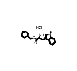 Cl.Cn1cc(C[C@@H](N)C(=O)OCc2ccccc2)c2ccccc21